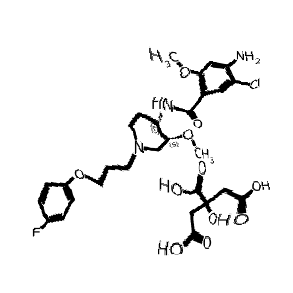 COc1cc(N)c(Cl)cc1C(=O)N[C@H]1CCN(CCCOc2ccc(F)cc2)C[C@@H]1OC.O=C(O)CC(O)(CC(=O)O)C(=O)O